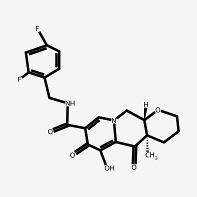 C[C@@]12CCCO[C@H]1Cn1cc(C(=O)NCc3ccc(F)cc3F)c(=O)c(O)c1C2=O